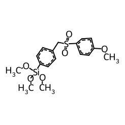 COc1ccc(S(=O)(=O)Cc2ccc([Si](OC)(OC)OC)cc2)cc1